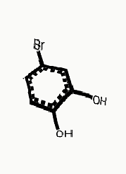 Oc1c[c]c(Br)cc1O